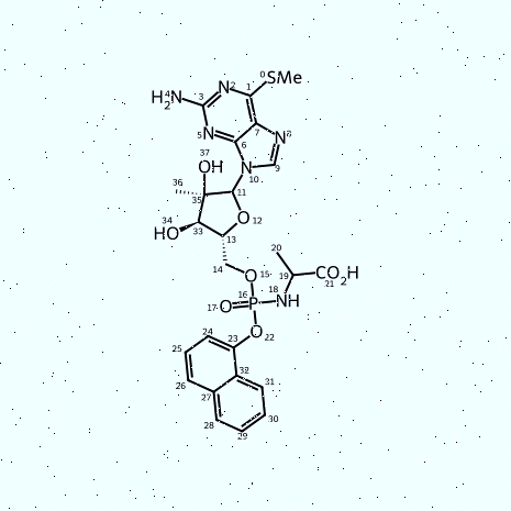 CSc1nc(N)nc2c1ncn2C1O[C@H](COP(=O)(NC(C)C(=O)O)Oc2cccc3ccccc23)[C@@H](O)[C@@]1(C)O